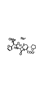 CO/N=C(\C(=O)N[C@@H]1C(=O)N2C(C(=O)[O-])=C([C@@H]3CCCO3)CS[C@H]12)c1ccco1.[Na+]